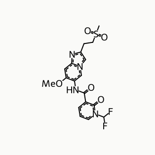 COc1cc2nc(CCS(C)(=O)=O)cn2cc1NC(=O)c1cccn(C(F)F)c1=O